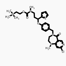 CN(CCC(Oc1ccc(CN2CCN(C)c3cc(Cl)ncc3C2=O)cc1)c1cccs1)C(=O)OCC[Si](C)(C)C